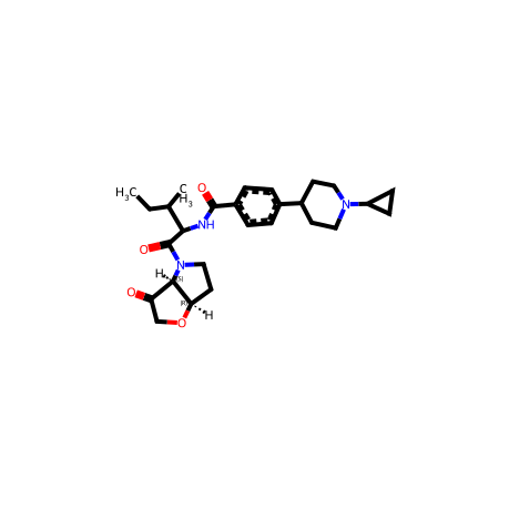 CCC(C)C(NC(=O)c1ccc(C2CCN(C3CC3)CC2)cc1)C(=O)N1CC[C@H]2OCC(=O)[C@H]21